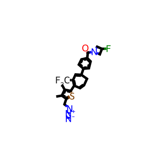 Cc1c(CN=[N+]=[N-])sc(C2=C(C(F)(F)F)C=C(c3ccc(C(=O)N4CC(F)C4)cc3)CC=C2)c1C